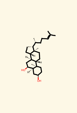 CC(C)=CCC[C@@H](C)[C@H]1CC[C@H]2[C@@H]3C[C@H](O)[C@@H]4C[C@H](O)CC[C@]4(C)[C@H]3CC[C@]12C